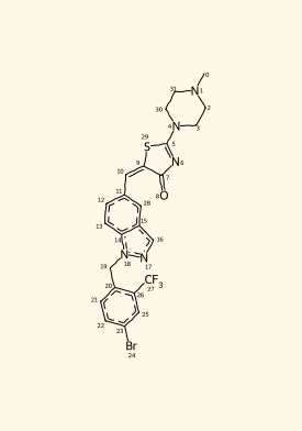 CN1CCN(C2=NC(=O)C(=Cc3ccc4c(cnn4Cc4ccc(Br)cc4C(F)(F)F)c3)S2)CC1